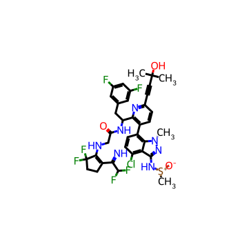 Cn1nc(N[S+](C)[O-])c2c(Cl)ccc(-c3ccc(C#CC(C)(C)O)nc3C(Cc3cc(F)cc(F)c3)NC(=O)CNC3=C(C(=N)C(F)F)CCC3(F)F)c21